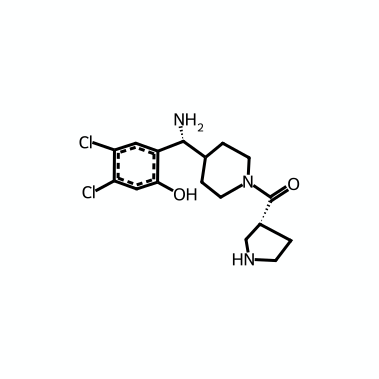 N[C@@H](c1cc(Cl)c(Cl)cc1O)C1CCN(C(=O)[C@@H]2CCNC2)CC1